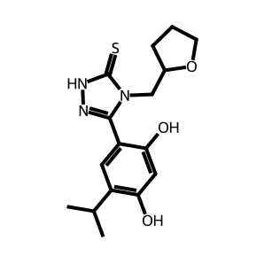 CC(C)c1cc(-c2n[nH]c(=S)n2CC2CCCO2)c(O)cc1O